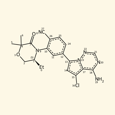 CC[C@H]1COC(C)(C)C(=O)N1c1cc(-c2cc(Cl)c3c(N)ncnn23)ccc1C#N